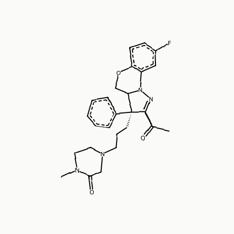 CC(=O)C1=NN2c3cc(F)ccc3OCC2[C@]1(CCCN1CCN(C)C(=O)C1)c1ccccc1